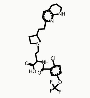 O=C(NC(CCN1CCC(CCc2ccc3c(n2)NCCC3)C1)C(=O)O)c1cc(OC(F)(F)F)ccc1Cl